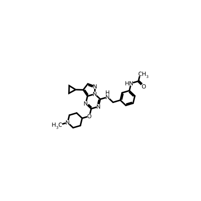 CC(=O)Nc1cccc(CNc2nc(OC3CCN(C)CC3)nc3c(C4CC4)cnn23)c1